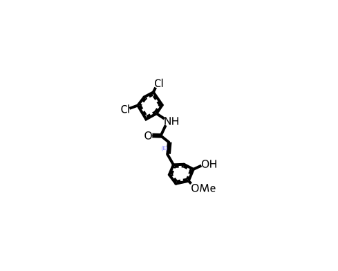 COc1ccc(/C=C/C(=O)Nc2cc(Cl)cc(Cl)c2)cc1O